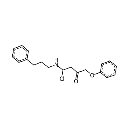 O=C(COc1ccccc1)CC(Cl)NCCCc1ccccc1